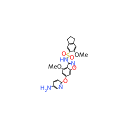 COc1cc2c(cc1S(=O)(=O)Nc1noc3cc(Oc4ccc(N)cn4)cc(OC)c13)CCC2